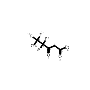 CCC(=O)CC(=O)C(F)(F)C(F)(F)Cl